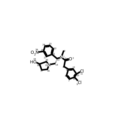 CN(C(=O)Cc1ccc(Cl)c(Cl)c1)[C@H](CN1CCC(O)C1)c1cccc([N+](=O)[O-])c1